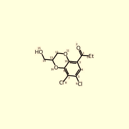 CCC(=O)c1cc(Cl)c(Cl)c2c1OCC(CO)O2